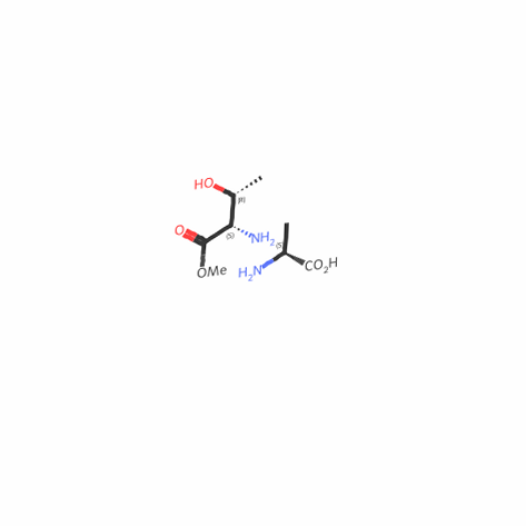 COC(=O)[C@@H](N)[C@@H](C)O.C[C@H](N)C(=O)O